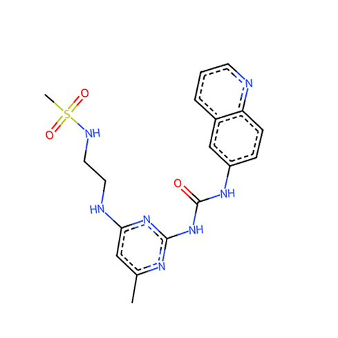 Cc1cc(NCCNS(C)(=O)=O)nc(NC(=O)Nc2ccc3ncccc3c2)n1